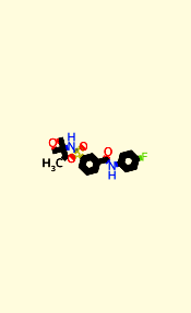 CCC1(NS(=O)(=O)c2cccc(C(=O)Nc3ccc(F)cc3)c2)COC1